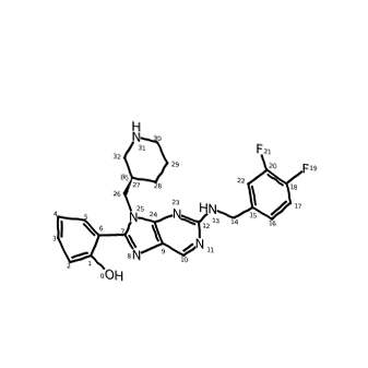 Oc1ccccc1-c1nc2cnc(NCc3ccc(F)c(F)c3)nc2n1C[C@@H]1CCCNC1